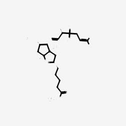 COC(=O)CCCC[C@@H]1C[C@@H]2[C@@H](C=C[C@@H](O)C(C)(C)CC=C(C)C)[C@H](OC(C)=O)C[C@@H]2O1